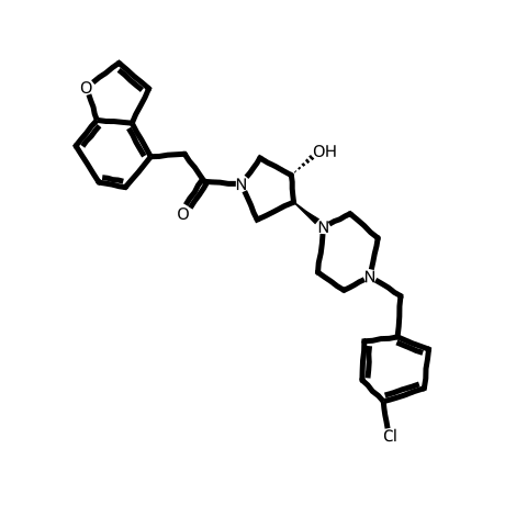 O=C(Cc1cccc2occc12)N1C[C@H](O)[C@@H](N2CCN(Cc3ccc(Cl)cc3)CC2)C1